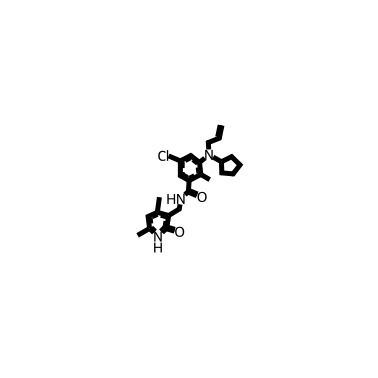 C=CCN(c1cc(Cl)cc(C(=O)NCc2c(C)cc(C)[nH]c2=O)c1C)C1CCCC1